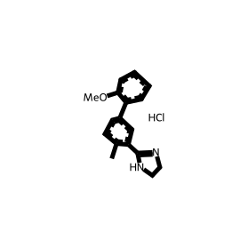 COc1ccccc1-c1ccc(C)c(C2=NCCN2)c1.Cl